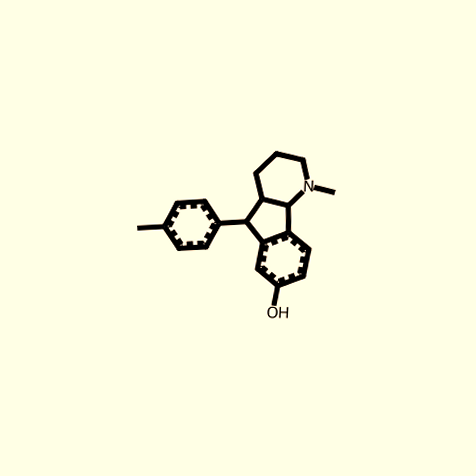 Cc1ccc(C2c3cc(O)ccc3C3C2CCCN3C)cc1